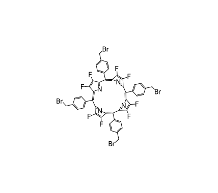 FC1=C(F)C2=C(c3ccc(CBr)cc3)C3=NC(=C(c4ccc(CBr)cc4)C4=NC(=C(c5ccc(CBr)cc5)C5=NC(=C(c6ccc(CBr)cc6)C1=N2)C(F)=C5F)C(F)=C4F)C(F)=C3F